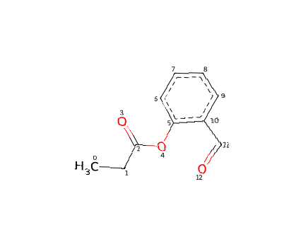 CCC(=O)Oc1ccccc1C=O